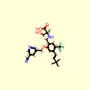 CC(C)(C)/C=C/c1cc(OCc2cncc(C#N)c2)c(CN[C@](C)(CO)C(=O)O)cc1C(F)(F)F